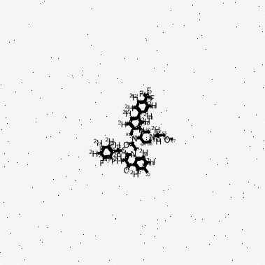 [2H]c1c([2H])c(F)c(F)c(C([2H])([2H])Sc2c([2H])c(=O)c3c([2H])c(C)c([2H])c([2H])c3n2CC(=O)N(Cc2c([2H])c([2H])c(-c3c([2H])c([2H])c(C(F)(F)F)c([2H])c3[2H])c([2H])c2[2H])C2CCN(C([2H])([2H])COC)CC2)c1[2H]